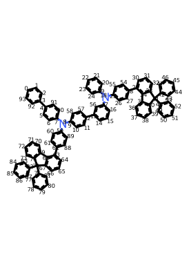 c1ccc(-c2ccc(N(c3ccc(-c4cccc(N(c5ccccc5)c5ccc(-c6cccc7c6-c6ccccc6C7(c6ccccc6)c6ccccc6)cc5)c4)cc3)c3ccc(-c4cccc5c4-c4ccccc4C5(c4ccccc4)c4ccccc4)cc3)cc2)cc1